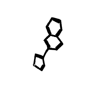 [c]1c(-c2ccoc2)ccc2ccccc12